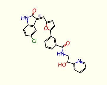 O=C1Nc2ccc(Cl)cc2/C1=C\c1ccc(-c2cccc(C(=O)NCC(O)c3ccccn3)c2)o1